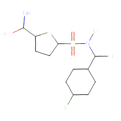 CCN(C(C1CCC(F)CC1)C(F)(F)F)S(=O)(=O)C1CCC(C(N)O)S1